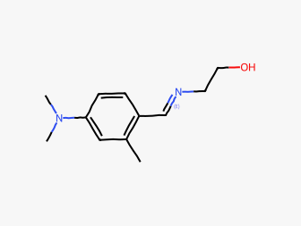 Cc1cc(N(C)C)ccc1/C=N/CCO